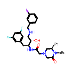 CCCCN1C(=O)CN(CC(=O)N[C@@H](Cc2cc(F)cc(F)c2)[C@@H](O)CNCc2cccc(I)c2)C[C@H]1C(C)C